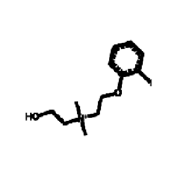 C[N+](C)(CCO)CCOc1ccccc1I